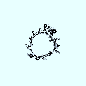 CCCC[C@H]1C(=O)N(C)[C@@H](CCCC)C(=O)N[C@@H](CC(C)C)C(=O)N[C@H](C(N)=O)CNCC(=O)N[C@@H](Cc2ccc(OC)cc2)C(=O)N2CCCC[C@H]2C(=O)N[C@@H](CC(N)=O)C(=O)N2CCC[C@H]2C(=O)N[C@@H](CN)C(=O)N[C@@H](CC(C)C)C(=O)N2C[C@H](O)C[C@@]23C(=O)N3[C@@H](Cc2c[nH]c3ccccc23)C(=O)N[C@@H](CCN)C(=O)N[C@@H](Cc2cn(CC(=O)O)c3ccccc23)C(=O)N1C